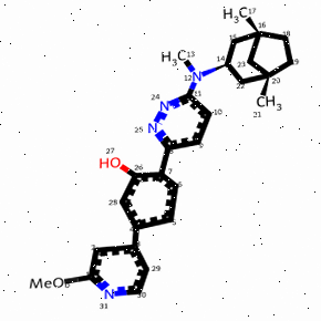 COc1cc(-c2ccc(-c3ccc(N(C)[C@H]4C[C@]5(C)CC[C@](C)(C4)C5)nn3)c(O)c2)ccn1